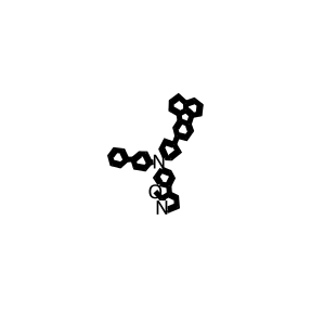 c1ccc(-c2ccc(N(c3ccc(-c4ccc5c(c4)-c4cccc6cccc-5c46)cc3)c3ccc4c(c3)oc3ncccc34)cc2)cc1